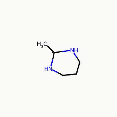 C[C]1NCCCN1